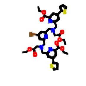 CCOC(=O)CN(Cc1cc(Br)cc(CN(CC(=O)OCC)Cc2cc(-c3cccs3)cc(C(=O)OCC)n2)n1)Cc1cc(-c2cccs2)cc(C(=O)OCC)n1